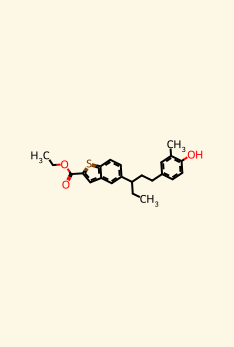 CCOC(=O)c1cc2cc(C(CC)CCc3ccc(O)c(C)c3)ccc2s1